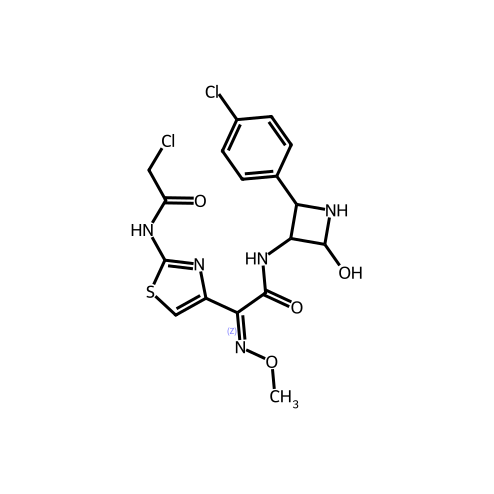 CO/N=C(\C(=O)NC1C(O)NC1c1ccc(Cl)cc1)c1csc(NC(=O)CCl)n1